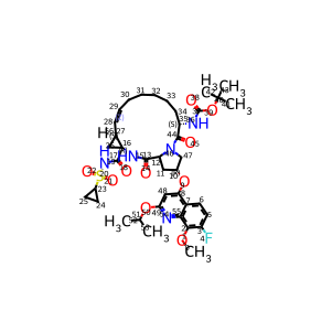 COc1c(F)ccc2c(O[C@@H]3CC4C(=O)N[C@]5(C(=O)NS(=O)(=O)C6CC6)C[C@H]5/C=C\CCCCC[C@H](NC(=O)OC(C)(C)C)C(=O)N4C3)cc(OC(C)C)nc12